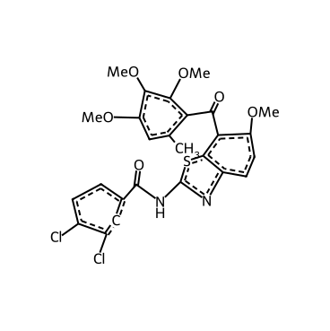 COc1cc(C)c(C(=O)c2c(OC)ccc3nc(NC(=O)c4ccc(Cl)c(Cl)c4)sc23)c(OC)c1OC